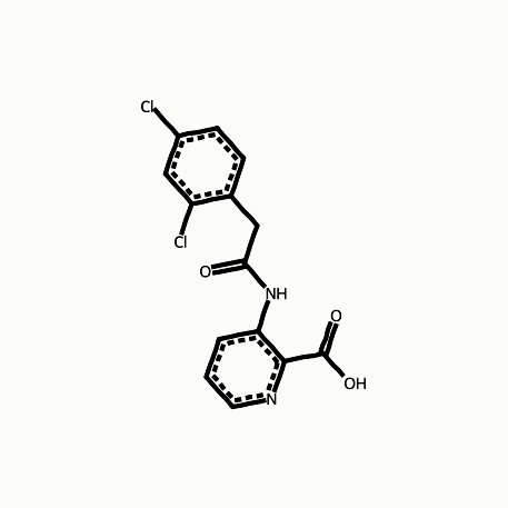 O=C(Cc1ccc(Cl)cc1Cl)Nc1cccnc1C(=O)O